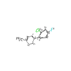 CC1=CCC(c2ccc(F)cc2Cl)CC1